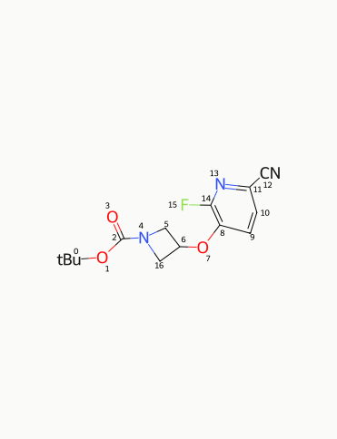 CC(C)(C)OC(=O)N1CC(Oc2ccc(C#N)nc2F)C1